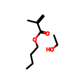 C=C(C)C(=O)OCCCC.CCO